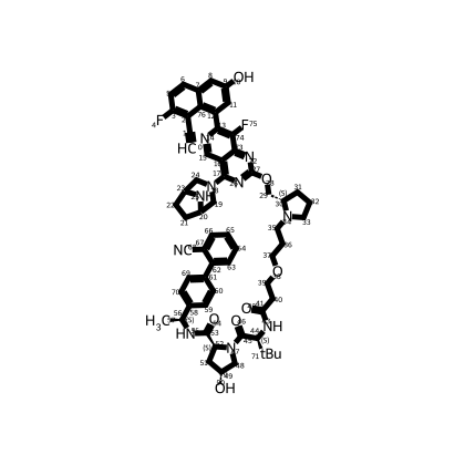 C#Cc1c(F)ccc2cc(O)cc(-c3ncc4c(N5CC6CCC(C5)N6)nc(OC[C@@H]5CCCN5CCCOCCC(=O)N[C@H](C(=O)N5C[C@H](O)C[C@H]5C(=O)N[C@@H](C)c5ccc(-c6ccccc6C#N)cc5)C(C)(C)C)nc4c3F)c12